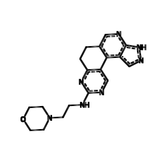 c1nc2[nH]ncc2c2c1CCc1nc(NCCN3CCOCC3)ncc1-2